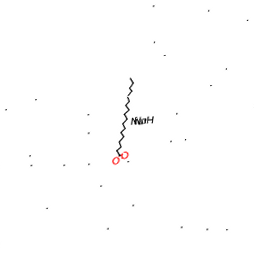 CCCCCCCCCCCCCCCCCC(=O)[O-].[Na+].[NaH]